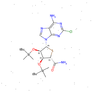 CC(C)(C)[Si](C)(C)O[C@@H]1[C@H](O[Si](C)(C)C(C)(C)C)[C@@H](C(N)=O)S[C@H]1n1cnc2c(N)nc(Cl)nc21